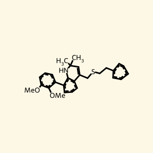 COc1cccc(-c2cccc3c2NC(C)(C)C=C3CSCCc2ccccc2)c1OC